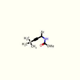 COC(=O)NC(C#C[Si](C)(C)C)C(C)=O